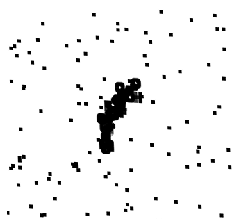 O=PC[C@@H](O)C(=O)N1CC=C(c2c(F)cc(N3C[C@H](COc4ccon4)OC3=O)cc2F)CC1